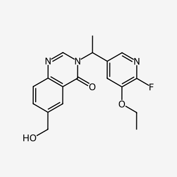 CCOc1cc(C(C)n2cnc3ccc(CO)cc3c2=O)cnc1F